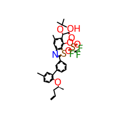 C=CC[C@H](C)Oc1ccc(C)cc1-c1cccc(-c2nc3cc(C)c(C(OC(C)(C)C)C(=O)O)c(OS(=O)(=O)C(F)(F)F)c3s2)c1